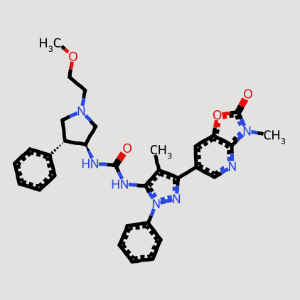 COCCN1C[C@@H](NC(=O)Nc2c(C)c(-c3cnc4c(c3)oc(=O)n4C)nn2-c2ccccc2)[C@H](c2ccccc2)C1